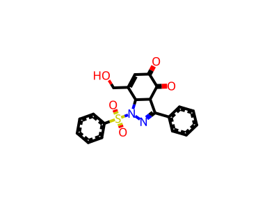 O=C1C=C(CO)C2C(C1=O)C(c1ccccc1)=NN2S(=O)(=O)c1ccccc1